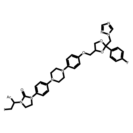 CC(=O)C(CI)N1CCN(c2ccc(N3CCN(c4ccc(OCC5COC(Cn6cncn6)(c6ccc(F)cc6)O5)cc4)CC3)cc2)C1=O